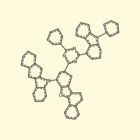 c1ccc(-c2nc(-c3cc(-n4c5ccccc5c5cc6ccccc6cc54)c4oc5c6ccccc6ccc5c4c3)nc(-c3cccc4c3c3ccccc3n4-c3ccccc3)n2)cc1